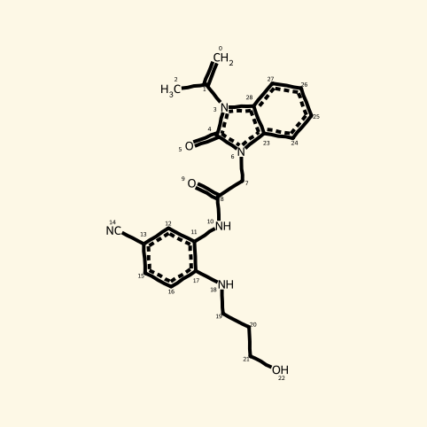 C=C(C)n1c(=O)n(CC(=O)Nc2cc(C#N)ccc2NCCCO)c2ccccc21